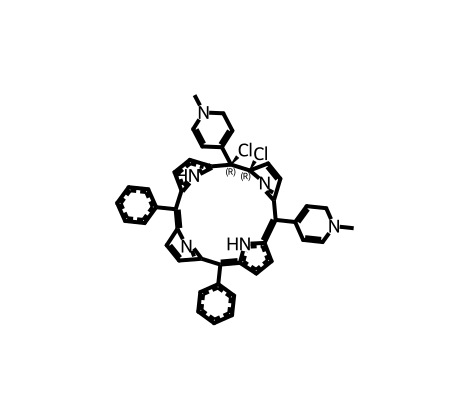 CN1C=CC(C2=c3ccc([nH]3)=C(c3ccccc3)C3=NC(=C(c4ccccc4)c4ccc([nH]4)[C@](Cl)(C4=CCN(C)C=C4)[C@]4(Cl)C=CC2=N4)C=C3)=CC1